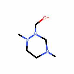 CN1CCN(C)N(CO)C1